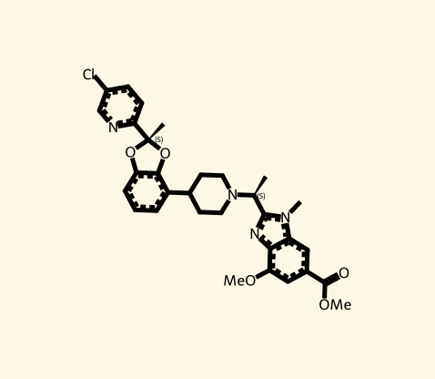 COC(=O)c1cc(OC)c2nc([C@H](C)N3CCC(c4cccc5c4O[C@@](C)(c4ccc(Cl)cn4)O5)CC3)n(C)c2c1